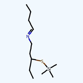 CCC/C=N/CCC(CC)S[Si](C)(C)C